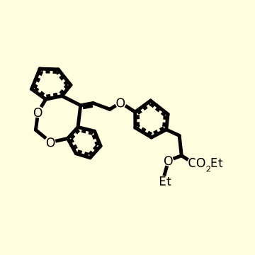 CCOC(=O)C(Cc1ccc(OCC=C2c3ccccc3OCOc3ccccc32)cc1)OCC